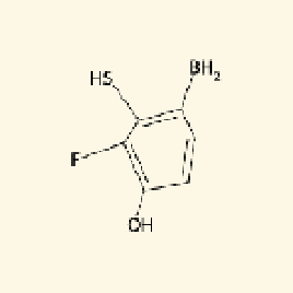 Bc1ccc(O)c(F)c1S